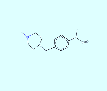 CC(C=O)c1ccc(CC2CCN(C)CC2)cc1